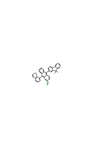 CC1(C)c2ccccc2-c2ccc(-c3c4ccccc4c(-c4cccc5c4CCC=C5)c4cc(F)ccc34)cc21